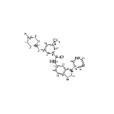 CN1CCN(Cc2cc(C(=O)Nc3ccc4c(c3)N(c3cncnc3)CC4)cc(C(F)(F)F)c2)CC1